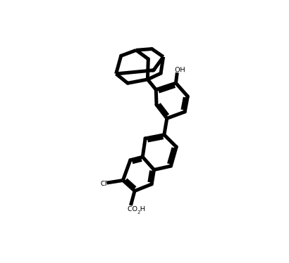 O=C(O)c1cc2ccc(-c3ccc(O)c(C45CC6CC(CC(C6)C4)C5)c3)cc2cc1Cl